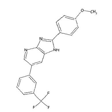 COc1ccc(-c2nc3ncc(-c4cccc(C(F)(F)F)c4)cc3[nH]2)cc1